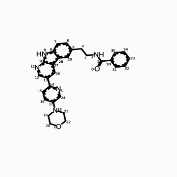 O=C(NCCc1ccc2[nH]c3ncc(-c4ccc(N5CCOCC5)cn4)cc3c2c1)c1ccccc1